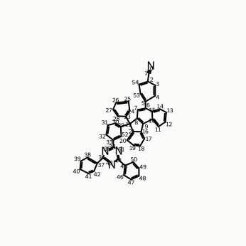 N#Cc1ccc(-c2cc3c(c4ccccc24)-c2ccccc2C3(c2ccccc2)c2cccc(-c3nc(-c4ccccc4)nc(-c4ccccc4)n3)c2)cc1